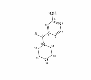 [CH2]C(c1ccnc(O)c1)N1CCOCC1